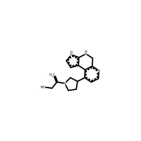 C=C(CC#N)N1CCC(c2ccnc3c2-c2cc[nH]c2NC3)C1